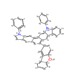 c1ccc(-n2ccc3cc4cc(-c5ccc6oc7ccccc7c6c5)c5cc6c7ccccc7n(-c7ccccc7)c6cc5c4cc32)cc1